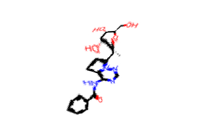 C[C@@]1(c2ccc3c(NC(=O)c4ccccc4)ncnn23)O[C@H](CO)[C@@H](O)[C@H]1O